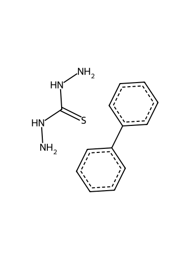 NNC(=S)NN.c1ccc(-c2ccccc2)cc1